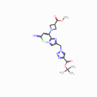 COC(=O)C1CN(/C(=C/C(=N)Cl)c2nc(Cn3cc(C(=O)OC(C)(C)C)nn3)c[nH]2)C1